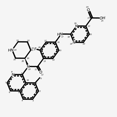 Cc1cccc2ccnc(N(C(=O)c3ccc(Nc4nccc(C(=O)O)n4)cc3F)[C@@H]3CCCNC3)c12